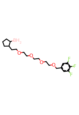 BC1CCCC1CCOCCOCCOCCOCc1cc(F)c(F)c(F)c1